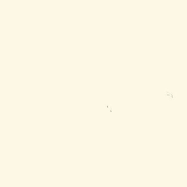 Cc1nc([C@@H](C)c2ccccc2)ccc1Br